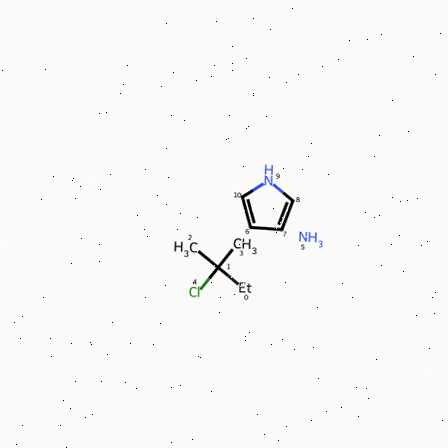 CCC(C)(C)Cl.N.c1cc[nH]c1